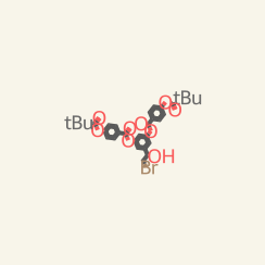 CC(C)(C)C(=O)Oc1ccc(C(=O)Oc2cc(OC(=O)c3ccc(OC(=O)C(C)(C)C)cc3)cc(C(O)CBr)c2)cc1